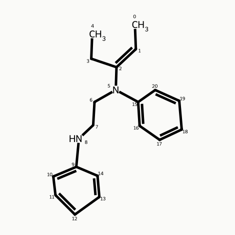 C/C=C(\CC)N(CCNc1ccccc1)c1ccccc1